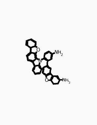 NC1=Cc2c(oc3ccc(-c4cc(N)ccc4-n4c5ccccc5c5ccc6c(c54)OC4C=CC=CC64)cc23)CC1